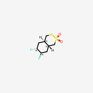 O=S1(=O)C[C@@H]2C[C@@H](F)[C@H](F)C[C@H]2CS1